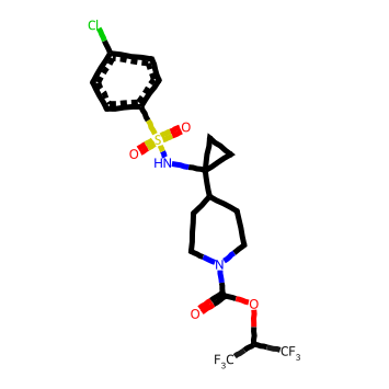 O=C(OC(C(F)(F)F)C(F)(F)F)N1CCC(C2(NS(=O)(=O)c3ccc(Cl)cc3)CC2)CC1